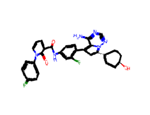 Nc1ncnn2c1c(-c1ccc(NC(=O)c3cccn(-c4ccc(F)cc4)c3=O)cc1F)cc2[C@H]1CC[C@H](O)CC1